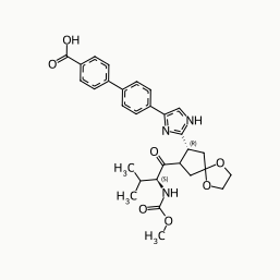 COC(=O)N[C@H](C(=O)C1CC2(C[C@H]1c1nc(-c3ccc(-c4ccc(C(=O)O)cc4)cc3)c[nH]1)OCCO2)C(C)C